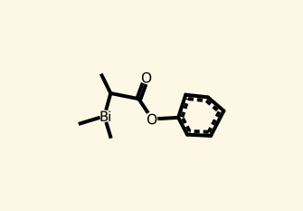 C[CH](C(=O)Oc1ccccc1)[Bi]([CH3])[CH3]